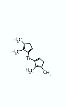 CC1=C(C)[C]([Ti][C]2=CCC(C)=C2C)=CC1